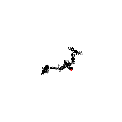 CC1(C)CCC(c2ccc(Cl)cc2)=C(CN2CCN(c3ccc(C(=O)NSc4ccc(N[C@H](CCN5CCN(C(=O)NCCOCCOCCNc6cccc7c6C(=O)N(C6CCC(=O)NC6=O)C7=O)CC5)CSc5ccccc5)c(S(=O)(=O)C(F)(F)F)c4)cc3)CC2)C1